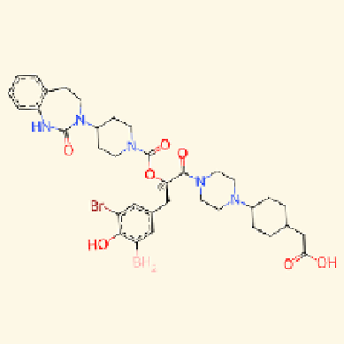 Bc1cc(C[C@@H](OC(=O)N2CCC(N3CCc4ccccc4NC3=O)CC2)C(=O)N2CCN(C3CCC(CC(=O)O)CC3)CC2)cc(Br)c1O